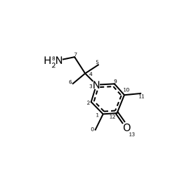 Cc1cn(C(C)(C)CN)cc(C)c1=O